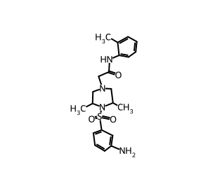 Cc1ccccc1NC(=O)CN1CC(C)N(S(=O)(=O)c2cccc(N)c2)C(C)C1